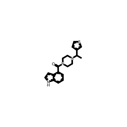 CC(c1ccsc1)N1CCN(C(=O)c2cccc3[nH]ccc23)CC1